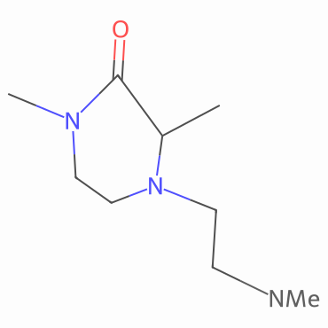 CNCCN1CCN(C)C(=O)C1C